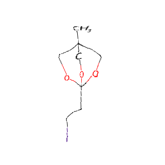 CC12COC(CCI)(OC1)OC2